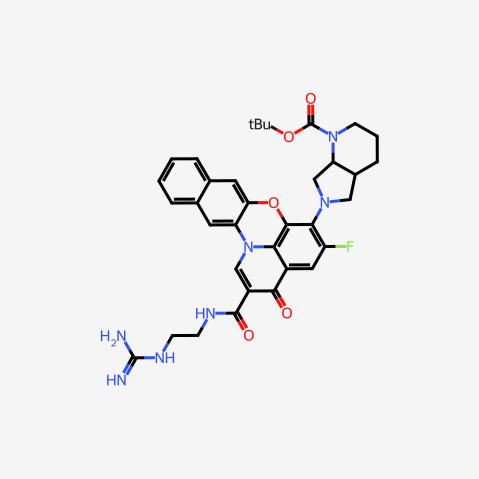 CC(C)(C)OC(=O)N1CCCC2CN(c3c(F)cc4c(=O)c(C(=O)NCCNC(=N)N)cn5c4c3Oc3cc4ccccc4cc3-5)CC21